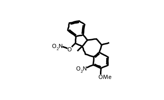 COc1ccc2c(c1[N+](=O)[O-])CC1(C)C(CC2C)c2ccccc2C1O[N+](=O)[O-]